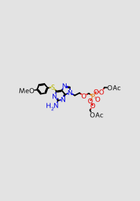 COc1ccc(Sc2nc(N)nc3c2ncn3CCOCP(=O)(OOCOC(C)=O)OOCOC(C)=O)cc1